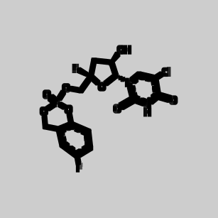 O=c1[nH]c(=O)n([C@@H]2O[C@](F)(COP3(=O)OCc4cc(F)ccc4O3)C[C@H]2O)cc1Cl